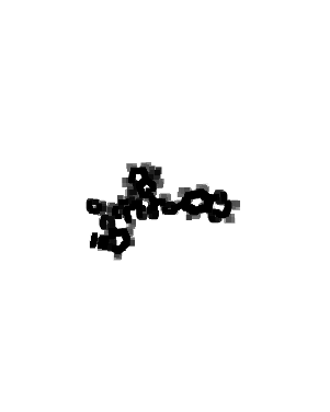 O=C[C@H](C[C@@H]1CCNC1=O)NC(=O)[C@H]1[C@@H]2CCC[C@H]2CN1C(=O)COc1ccc2c(c1)OCCO2